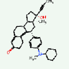 CC#C[C@]1(O)CCC2C3CCC4=CC(=O)CCC4=C3[C@@H](c3ccc(N(C)C4CCCCC4)cc3)C[C@@]21C